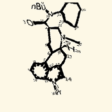 CCCCN(C(=O)[C@@H]1CC2c3cccc4c3c(cn4C(C)C)C[C@H]2N(C)C1)C1CCCCC1